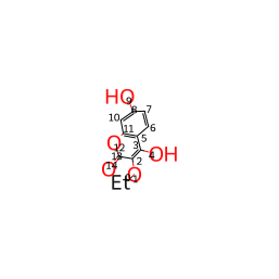 CCOc1c(O)c2ccc(O)cc2oc1=O